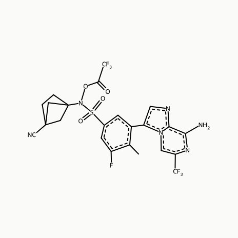 Cc1c(F)cc(S(=O)(=O)N(OC(=O)C(F)(F)F)C23CCC(C#N)(C2)C3)cc1-c1cnc2c(N)nc(C(F)(F)F)cn12